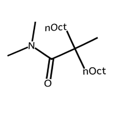 CCCCCCCCC(C)(CCCCCCCC)C(=O)N(C)C